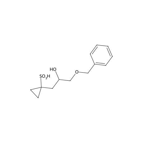 O=S(=O)(O)C1(CC(O)COCc2ccccc2)CC1